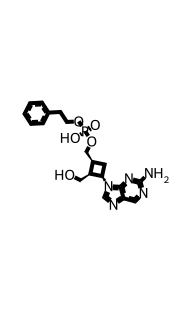 Nc1ncc2ncn([C@@H]3C[C@H](COP(=O)(O)OCCc4ccccc4)[C@@H]3CO)c2n1